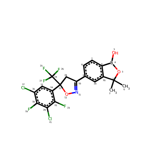 CC1(C)OB(O)c2ccc(C3=NOC(c4cc(Cl)c(F)c(Cl)c4F)(C(F)(F)F)C3)cc21